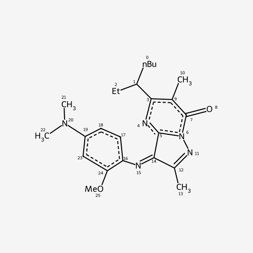 CCCCC(CC)c1nc2n(c(=O)c1C)N=C(C)C2=Nc1ccc(N(C)C)cc1OC